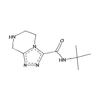 CC(C)(C)NC(=O)c1nnc2n1CCNC2